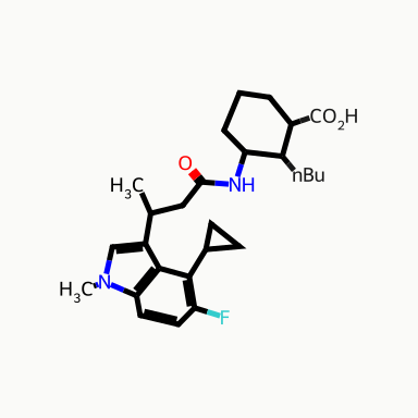 CCCCC1C(NC(=O)CC(C)c2cn(C)c3ccc(F)c(C4CC4)c23)CCCC1C(=O)O